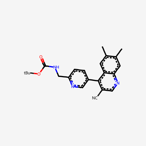 Cc1cc2ncc(C#N)c(-c3ccc(CNC(=O)OC(C)(C)C)nc3)c2cc1C